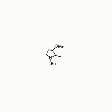 CO[C@@H]1CCN(C(C)(C)C)[C@@H]1C